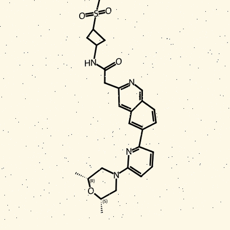 C[C@@H]1CN(c2cccc(-c3ccc4cnc(CC(=O)NC5CC(S(C)(=O)=O)C5)cc4c3)n2)C[C@H](C)O1